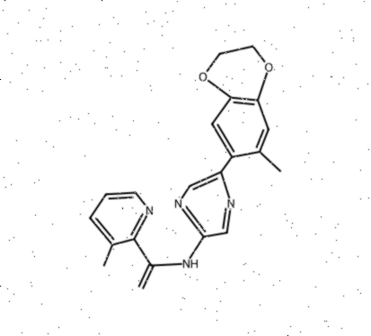 C=C(Nc1cnc(-c2cc3c(cc2C)OCCO3)cn1)c1ncccc1C